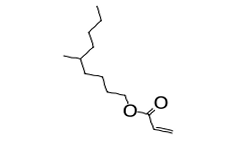 C=CC(=O)OCCCCC(C)CCCC